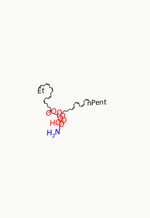 CC/C=C\C/C=C\C/C=C\C/C=C\C/C=C\CCCC(=O)OC[C@H](COP(=O)(O)OCCN)OC(=O)CCC/C=C\C/C=C\C/C=C\C/C=C\CCCCC